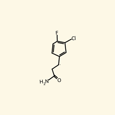 NC(=O)C[CH]c1ccc(F)c(Cl)c1